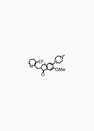 COc1cc2c(cc1N1CCN(C)CC1)CC(CC1=C(C(F)(F)F)CCC=N1)C2=O